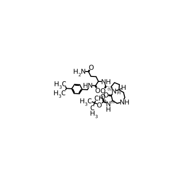 CC(C)c1ccc(CNC(=O)C(CCC(N)=O)NC(=O)[C@@H]2CC[C@@H]3CCNC[C@H](NC(=O)OC(C)(C)C)C(=O)N32)cc1